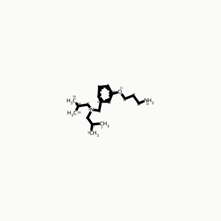 CC(C)CN(Cc1cccc(OCCCN)c1)CC(C)C